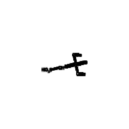 COS(=O)(=O)OC.O=S(=O)(O)O